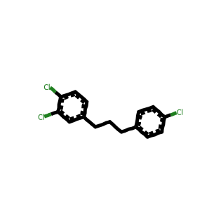 Clc1ccc(CCCc2ccc(Cl)c(Cl)c2)cc1